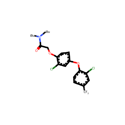 CCC(C)N(C(=O)COc1ccc(Oc2ccc(C(F)(F)F)cc2Cl)cc1Cl)C(C)CC